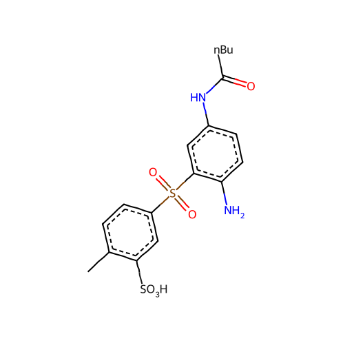 CCCCC(=O)Nc1ccc(N)c(S(=O)(=O)c2ccc(C)c(S(=O)(=O)O)c2)c1